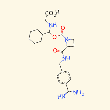 N=C(N)c1ccc(CNC(=O)C2CCN2C(=O)OC(NCC(=O)O)C2CCCCC2)cc1